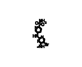 CNc1nc(Nc2ccc(S(N)(=O)=O)nc2)ncc1Br